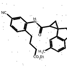 CCOC(=O)CCCc1ccc(C#N)cc1NC(=O)C1CC12COc1ccc(C)cc12